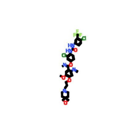 C=Nc1cc(OCCCN2CCC3(CC2)COC3)c(OC)cc1/C(=N\C)Oc1ccc(NC(=O)Nc2ccc(Cl)c(C(F)(F)F)c2)c(Cl)c1